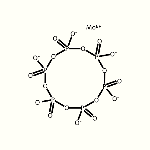 O=P1([O-])OP(=O)([O-])OP(=O)([O-])OP(=O)([O-])OP(=O)([O-])OP(=O)([O-])O1.[Mo+6]